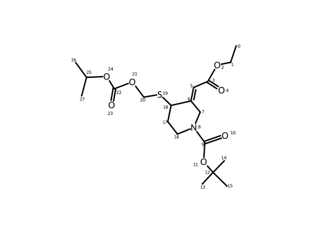 CCOC(=O)/C=C1\CN(C(=O)OC(C)(C)C)CCC1SCOC(=O)OC(C)C